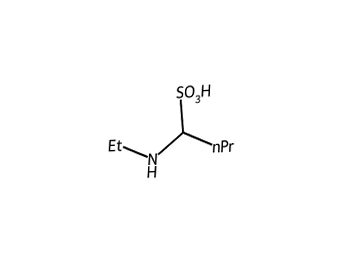 CCCC(NCC)S(=O)(=O)O